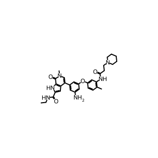 CCNC(=O)c1cc2c(-c3cc(N)cc(Oc4ccc(C)c(NC(=O)CCN5CCCCC5)c4)c3)cn(C)c(=O)c2[nH]1